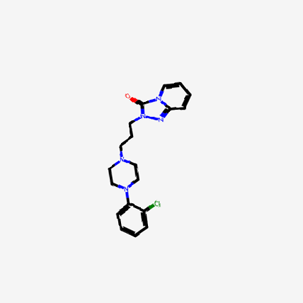 O=c1n(CCCN2CCN(c3ccccc3Cl)CC2)nc2ccccn12